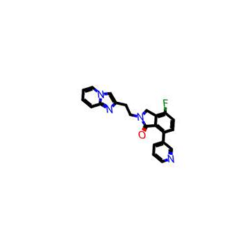 O=C1c2c(-c3cccnc3)ccc(F)c2CN1CCc1cn2ccccc2n1